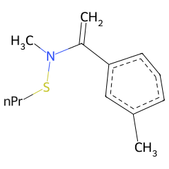 C=C(c1cccc(C)c1)N(C)SCCC